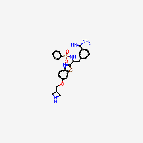 N=C(N)c1cccc(CC(NS(=O)(=O)c2ccccc2)c2nc3ccc(OCC4CNC4)cc3s2)c1